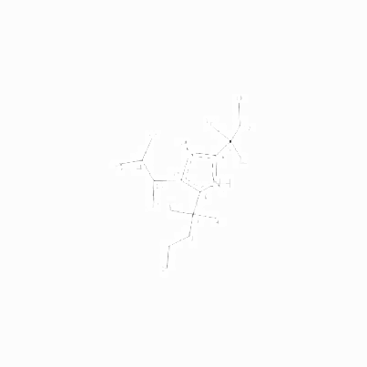 CCCC(C)(C)c1[nH]c(C(C)(C)CC)nc1C(C)C(C)C